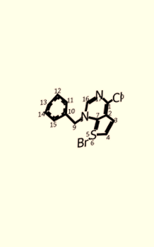 ClC1=C2C=CS(Br)=C2N(Cc2ccccc2)C=N1